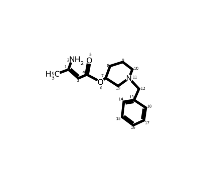 C/C(N)=C/C(=O)OC1CCCN(Cc2ccccc2)C1